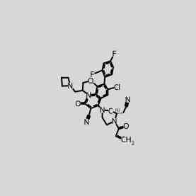 C=CC(=O)N1CCN(c2c(C#N)c(=O)n3c4c(c(-c5ccc(F)cc5F)c(Cl)cc24)OCC3CN2CCC2)C[C@@H]1CC#N